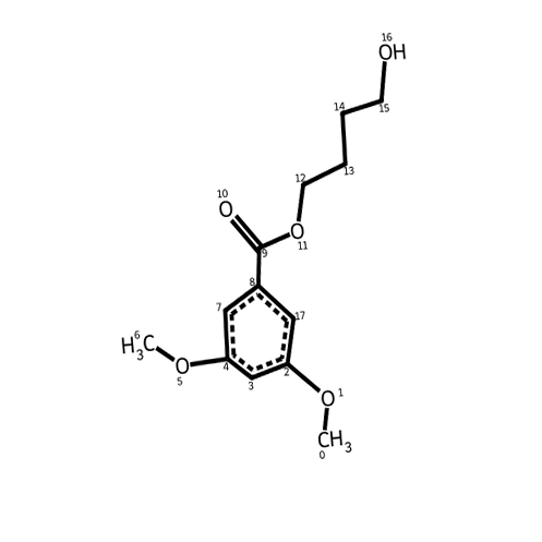 COc1cc(OC)cc(C(=O)OCCCCO)c1